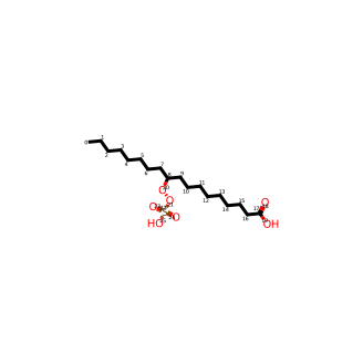 CCCCCCCCC(CCCCCCCCC(=O)O)OOS(=O)(=O)O